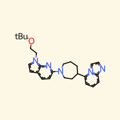 CC(C)(C)OCCn1ccc2ccc(N3CCCC(c4cccc5nccn45)CC3)nc21